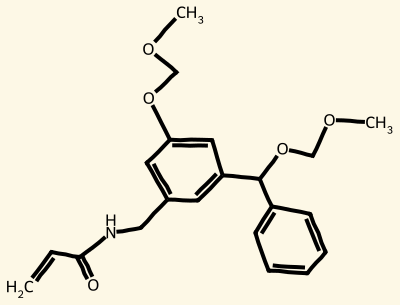 C=CC(=O)NCc1cc(OCOC)cc(C(OCOC)c2ccccc2)c1